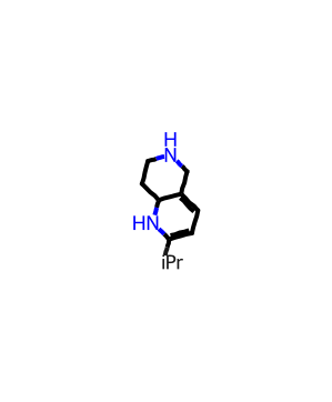 CC(C)C1=CC=C2CNCCC2N1